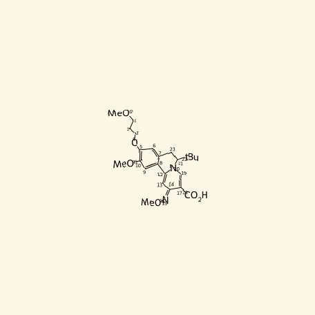 COCCCOc1cc2c(cc1OC)-c1cc(=NOC)c(C(=O)O)cn1C(C(C)(C)C)C2